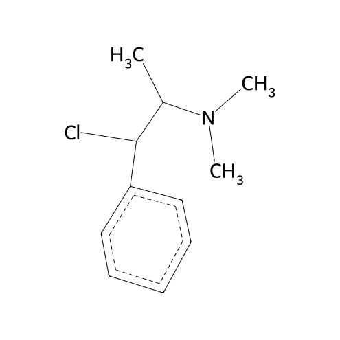 CC(C(Cl)c1ccccc1)N(C)C